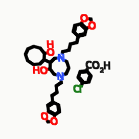 O=C(O)c1ccc(Cl)cc1.OC1CCCCCCCC1C1CN(CCCCc2ccc3c(c2)OCO3)CCCN(CCCCc2ccc3c(c2)OCO3)CC1O